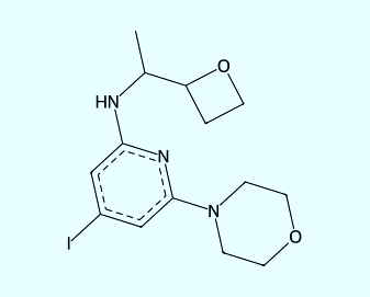 CC(Nc1cc(I)cc(N2CCOCC2)n1)C1CCO1